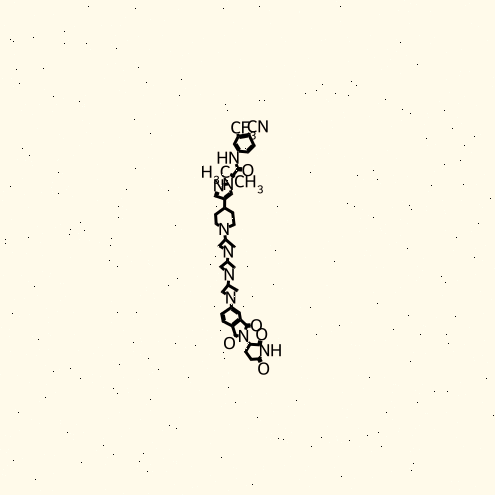 CC(C)(C(=O)Nc1ccc(C#N)c(C(F)(F)F)c1)n1cc(C2CCN(C3CN(C4CN(C5CN(c6ccc7c(c6)C(=O)N(C6CCC(=O)NC6=O)C7=O)C5)C4)C3)CC2)cn1